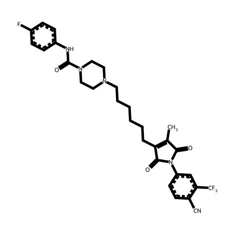 CC1=C(CCCCCCN2CCN(C(=O)Nc3ccc(F)cc3)CC2)C(=O)N(c2ccc(C#N)c(C(F)(F)F)c2)C1=O